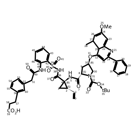 C=C[C@@H]1C[C@]1(NC(=O)[C@@H]1C[C@@H](OC2=CC(c3ccccc3)=NC3=CC(OC)=CC(C)C32)CN1C(=O)OC(C)(C)C)C(=O)NS(=O)(=O)c1ccccc1NC(=O)Cc1cccc(CCC(=O)O)c1